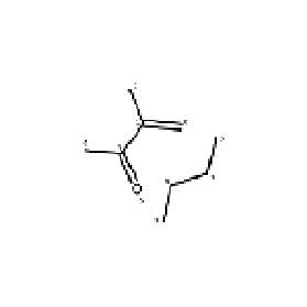 C=C(C)C(C)=O.CCCC